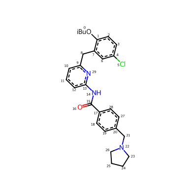 CC(C)COc1ccc(Cl)cc1Cc1cccc(NC(=O)c2ccc(CN3CCCC3)cc2)n1